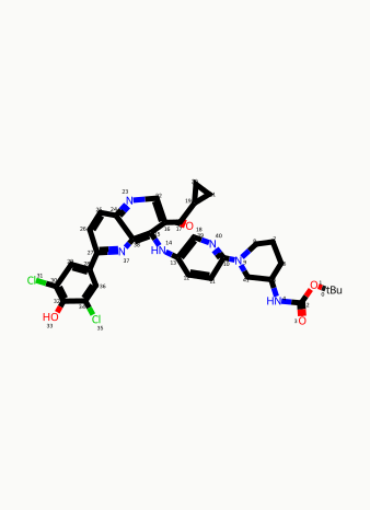 CC(C)(C)OC(=O)NC1CCCN(c2ccc(Nc3c(C(=O)C4CC4)cnc4ccc(-c5cc(Cl)c(O)c(Cl)c5)nc34)cn2)C1